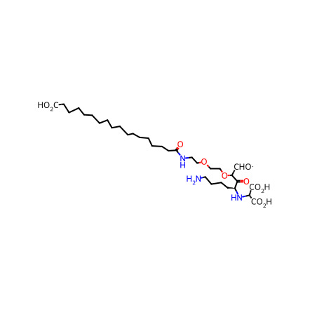 NCCCC[C@H](NC(C(=O)O)C(=O)O)C(=O)C([C]=O)OCCOCCNC(=O)CCCCCCCCCCCCCCCCC(=O)O